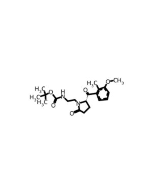 COc1cccc(C(=O)[C@@H]2CCC(=O)N2CCNC(=O)OC(C)(C)C)c1C